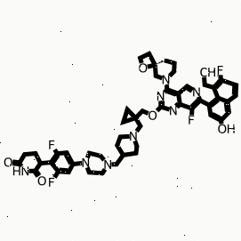 CCc1c(F)ccc2cc(O)cc(-c3ncc4c(N5CCC[C@]6(CCO6)C5)nc(OCC5(CN6CCC(CN7CCN(c8cc(F)c(C9CCC(=O)NC9=O)c(F)c8)CC7)CC6)CC5)nc4c3F)c12